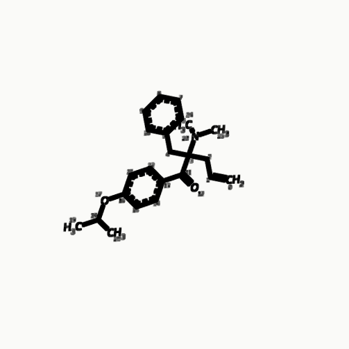 C=CCC(Cc1ccccc1)(C(=O)c1ccc(OC(C)C)cc1)N(C)C